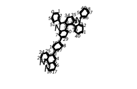 c1ccc(-c2nc3cc(-c4ccc(-c5cc6cccnc6c6ncccc56)cc4)ccc3c3c2ccc2c3c3ccccc3n2-c2ccccc2)cc1